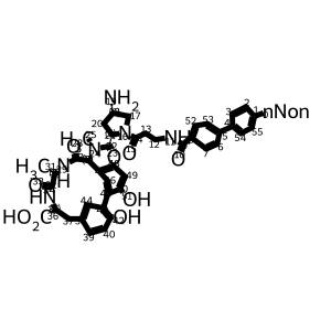 CCCCCCCCCc1ccc(-c2ccc(C(=O)NCCC(=O)N3C[C@@H](N)C[C@H]3C(=O)N(C)[C@@H]3C(=O)N[C@@H](C)C(=O)N[C@H](C(=O)O)Cc4ccc(O)c(c4)-c4cc3ccc4O)cc2)cc1